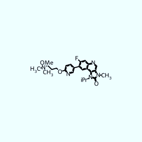 CO[N+](C)(C)CCCOc1ccc(-c2cc3c(cc2F)ncc2c3n(C(C)C)c(=O)n2C)cn1